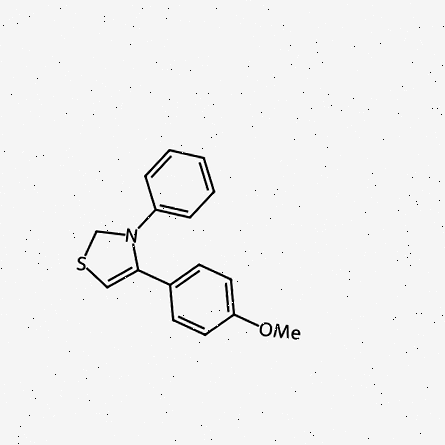 COc1ccc(C2=CSCN2c2ccccc2)cc1